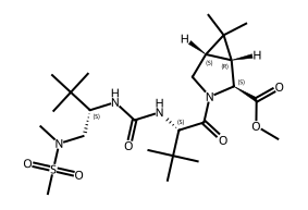 COC(=O)[C@@H]1[C@@H]2[C@H](CN1C(=O)[C@@H](NC(=O)N[C@H](CN(C)S(C)(=O)=O)C(C)(C)C)C(C)(C)C)C2(C)C